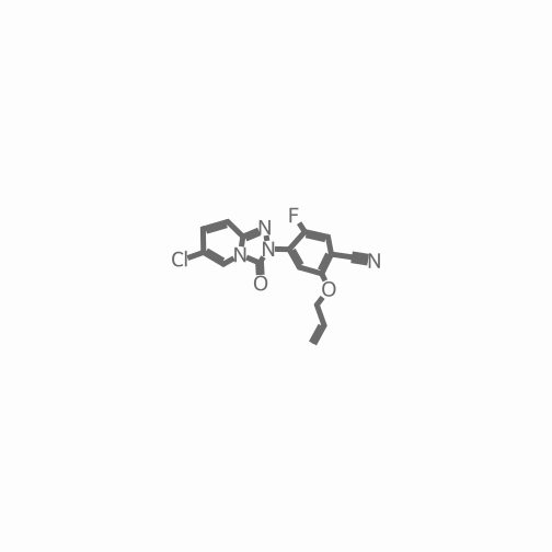 C=CCOc1cc(-n2nc3ccc(Cl)cn3c2=O)c(F)cc1C#N